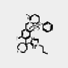 CCCn1cnc(C2(c3cc(F)c(CN4[C@@H](C)CC[C@H](c5ccccc5)S4(=O)=O)cc3F)CCOCC2)n1